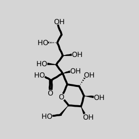 O=C(O)[C@@](O)(C1O[C@H](CO)[C@H](O)[C@H](O)[C@H]1O)[C@@H](O)[C@H](O)[C@H](O)CO